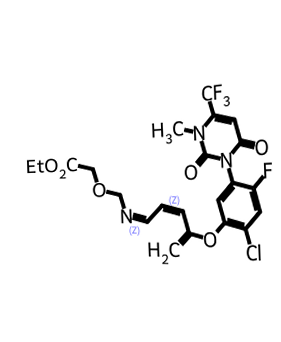 C=C(/C=C\C=N/COCC(=O)OCC)Oc1cc(-n2c(=O)cc(C(F)(F)F)n(C)c2=O)c(F)cc1Cl